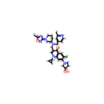 Cc1cc(CN(Cc2cn(C3CC3)c3cc(N4CC[C@@H](O)C4)c(F)cc3c2=O)[C@H]2CCCN(c3noc(C)n3)C2)ccn1